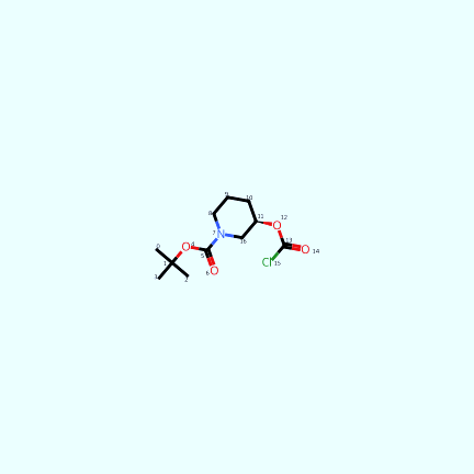 CC(C)(C)OC(=O)N1CCC[C@@H](OC(=O)Cl)C1